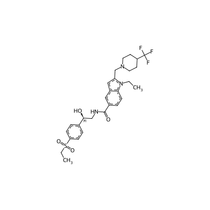 CCn1c(CN2CCC(C(F)(F)F)CC2)cc2cc(C(=O)NC[C@H](O)c3ccc(S(=O)(=O)CC)cc3)ccc21